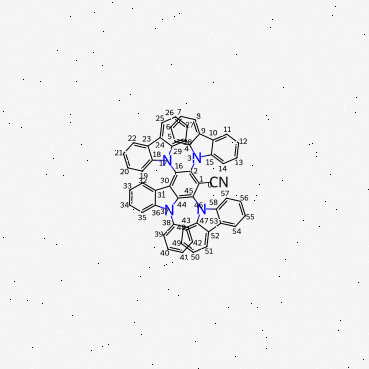 N#Cc1c(-n2c3ccccc3c3ccccc32)c(-n2c3ccccc3c3ccccc32)c2c3ccccc3n(-c3ccccc3)c2c1-n1c2ccccc2c2ccccc21